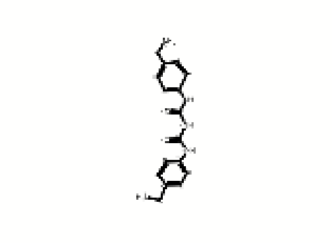 NCc1ccc(NC(=O)NC(=O)Nc2ccc(CN)cc2)cc1